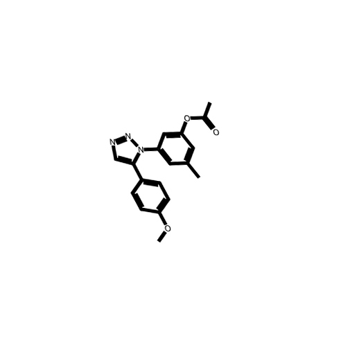 COc1ccc(-c2cnnn2-c2cc(C)cc(OC(C)=O)c2)cc1